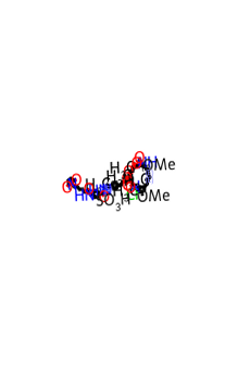 COc1cc2cc(c1Cl)N(C)C(=O)C[C@H](OC(=O)CCc1ccc(/C(C)=N/NC(=O)c3ccc(NC(=O)CCCCCN4C(=O)C=CC4=O)cc3S(=O)(=O)O)cc1)C1(C)OC1C1(C)CC13CC(NC(=O)O3)[C@H](OC)/C=C/C=C(\C)C2